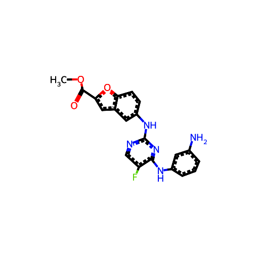 COC(=O)c1cc2cc(Nc3ncc(F)c(Nc4cccc(N)c4)n3)ccc2o1